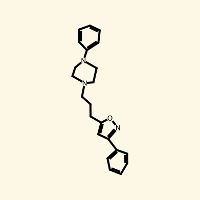 c1ccc(-c2cc(CCCN3CCN(c4ccccc4)CC3)on2)cc1